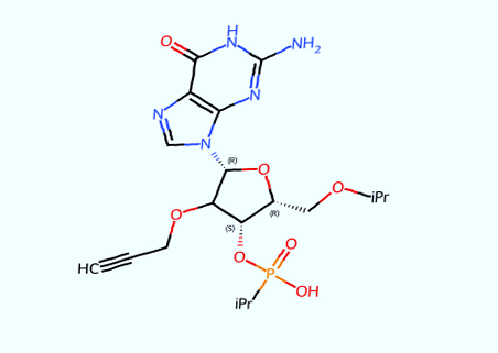 C#CCOC1[C@@H](OP(=O)(O)C(C)C)[C@@H](COC(C)C)O[C@H]1n1cnc2c(=O)[nH]c(N)nc21